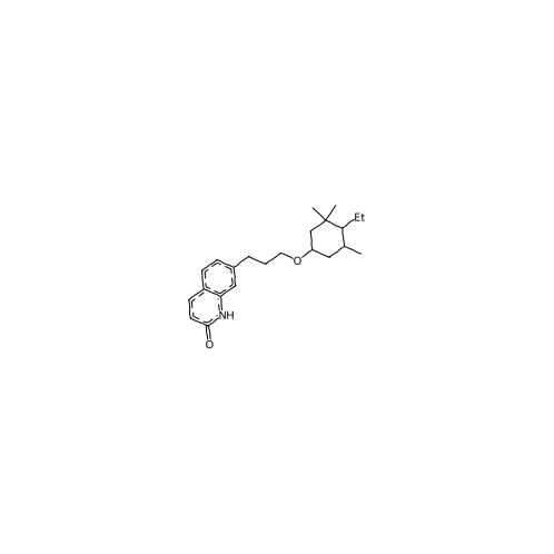 CCC1C(C)CC(OCCCc2ccc3ccc(=O)[nH]c3c2)CC1(C)C